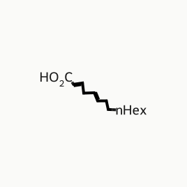 CCCCCCCCC=CCC=CC(=O)O